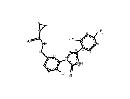 O=C(NCc1ccc(Cl)c(-n2nc(-c3ccc(C(F)(F)F)cc3F)[nH]c2=O)c1)C1CC1